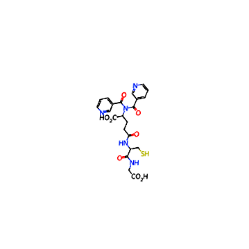 O=C(O)CNC(=O)[C@H](CS)NC(=O)CC[C@@H](C(=O)O)N(C(=O)c1cccnc1)C(=O)c1cccnc1